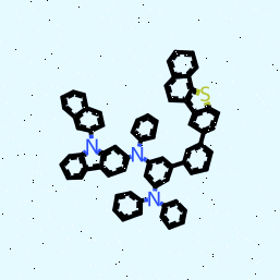 c1ccc(N(c2ccccc2)c2cc(-c3cccc(-c4ccc5sc6c7ccccc7ccc6c5c4)c3)cc(N(c3ccccc3)c3ccc4c5ccccc5n(-c5ccc6ccccc6c5)c4c3)c2)cc1